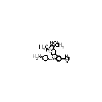 Cc1cc(C)c(/C=C2\C(=O)N(CC3CCC(N)CC3)c3ccc(-c4nccs4)cc32)[nH]1.Cl